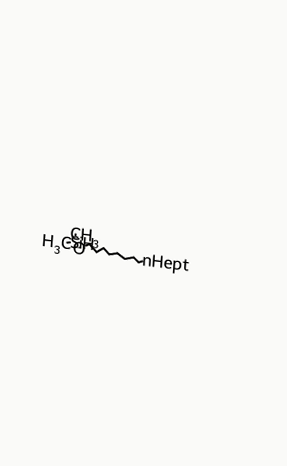 CCCCCCCCCCCCCCCO[SiH](C)C